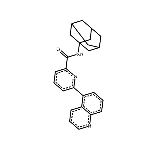 O=C(NC12CC3CC(CC(C3)C1)C2)c1cccc(-c2cccc3ncccc23)n1